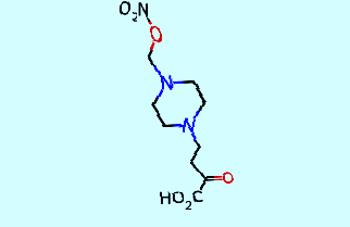 O=C(O)C(=O)CCN1CCN(CO[N+](=O)[O-])CC1